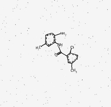 Cc1ccc(N)c(NC(=O)c2cc(C)ccc2Cl)c1